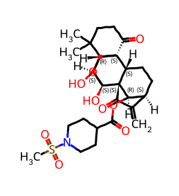 C=C1C(=O)[C@]23[C@H](OC(=O)C4CCN(S(C)(=O)=O)CC4)[C@H]1CC[C@H]2[C@@]12CO[C@]3(O)[C@@H](O)[C@@H]1C(C)(C)CCC2=O